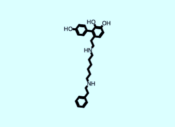 Oc1ccc(-c2c(CCNCCCCCCNCCc3ccccc3)ccc(O)c2O)cc1